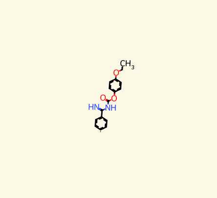 CCOc1ccc(OC(=O)NC(=N)c2cc[c]cc2)cc1